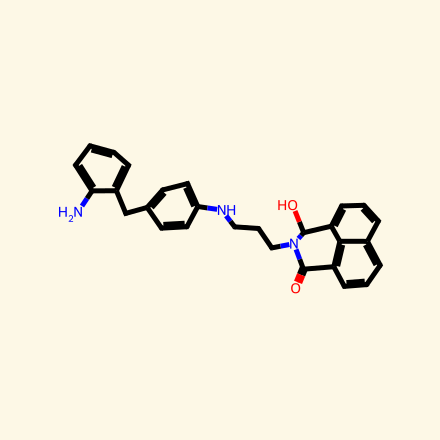 Nc1ccccc1Cc1ccc(NCCCN2C(=O)c3cccc4cccc(c34)C2O)cc1